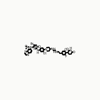 CCc1cc(Nc2ncc(Br)c(Nc3ccc4nccnc4c3P(C)(C)=O)n2)c(OC)cc1N1CCC(NCCNCCc2cc(F)c(C3CCC(=O)NC3=O)c(Cl)c2)CC1